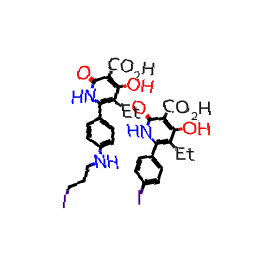 CCc1c(-c2ccc(I)cc2)[nH]c(=O)c(C(=O)O)c1O.CCc1c(-c2ccc(NCCCI)cc2)[nH]c(=O)c(C(=O)O)c1O